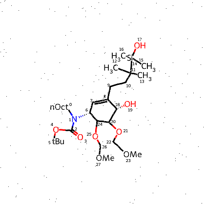 CCCCCCCCN(C(=O)OC(C)(C)C)[C@@H]1C=C(CCC(C)(C)[Si](C)(C)O)[C@H](O)C(OCOC)C1OCOC